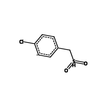 O=[SH](=O)Cc1c[c]c(Cl)cc1